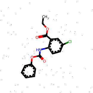 CCOC(=O)c1cc(Cl)ccc1NC(=O)Oc1ccccc1